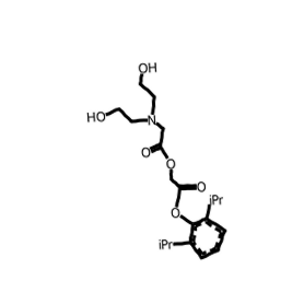 CC(C)c1cccc(C(C)C)c1OC(=O)COC(=O)CN(CCO)CCO